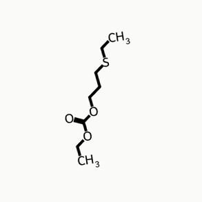 CCOC(=O)OCCCSCC